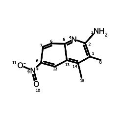 Cc1c(N)nc2ccc([N+](=O)[O-])cc2c1C